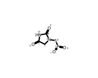 O=C1CN(SP(=O)=O)C(=O)N1